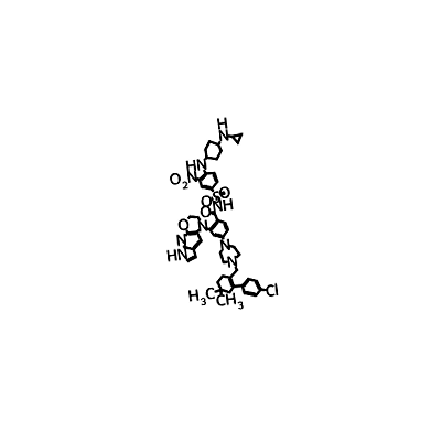 CC1(C)CCC(CN2CCN(c3ccc(C(=O)NS(=O)(=O)c4ccc(NC5CCC(NC6CC6)CC5)c([N+](=O)[O-])c4)c(N4CCOc5nc6[nH]ccc6cc54)c3)CC2)=C(c2ccc(Cl)cc2)C1